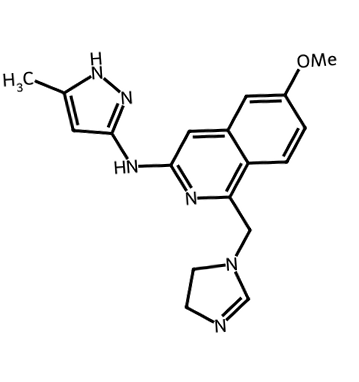 COc1ccc2c(CN3C=NCC3)nc(Nc3cc(C)[nH]n3)cc2c1